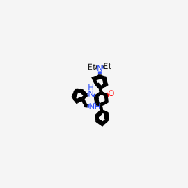 CCN(CC)c1ccc(C2C(=O)CC(c3ccccc3)C3=C2Nc2ccccc2CN3)cc1